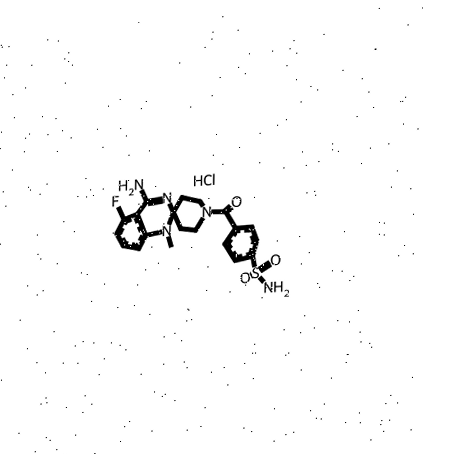 CN1c2cccc(F)c2C(N)=NC12CCN(C(=O)c1ccc(S(N)(=O)=O)cc1)CC2.Cl